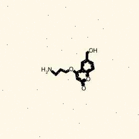 NCCCOc1cc(=O)oc2ccc(CO)cc12